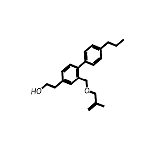 C=C(C)COCc1cc(CCO)ccc1-c1ccc(CCC)cc1